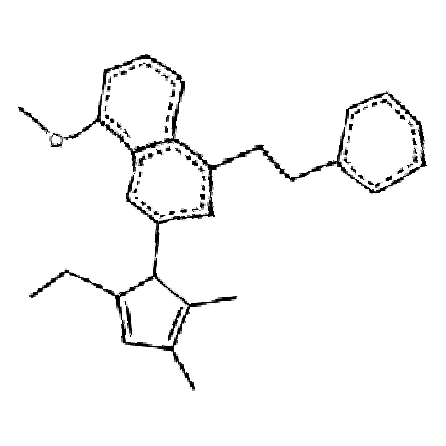 CCC1=CC(C)=C(C)C1c1cc(CCc2ccccc2)c2cccc(OC)c2c1